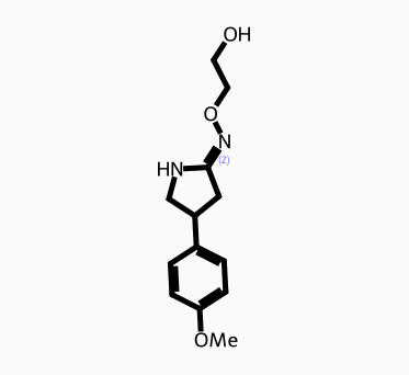 COc1ccc(C2CN/C(=N\OCCO)C2)cc1